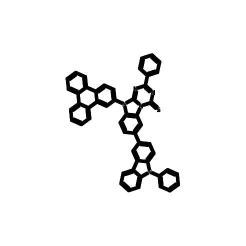 S=c1nc(-c2ccccc2)nc2n(-c3ccc4c5ccccc5c5ccccc5c4c3)c3ccc(-c4ccc5c(c4)c4ccccc4n5-c4ccccc4)cc3n12